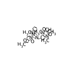 CCN1C(=O)C(C)(C)C(=O)N(C)c2cc(CN(CCn3ccc4oc(C)cc4c3=O)Cc3nn(C)c4ccccc34)ccc21